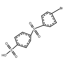 O=S(=O)(O)c1ccc(S(=O)(=O)c2ccc(Br)cc2)cc1